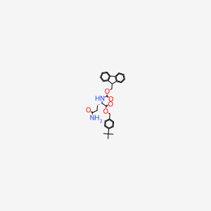 CC(C)(C)c1ccc(COC(=O)[C@H](CCC(N)=O)NC(=O)OCC2c3ccccc3-c3ccccc32)cc1